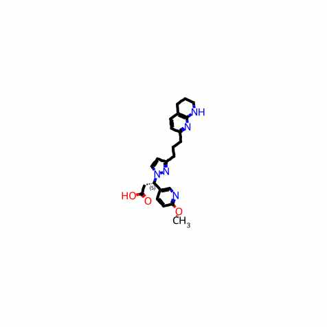 COc1ccc([C@H](CC(=O)O)n2ccc(CCCc3ccc4c(n3)NCCC4)n2)cn1